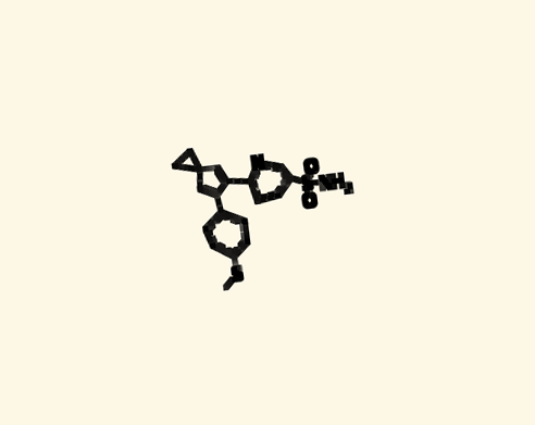 CSc1ccc(C2=CC3(C=C2c2ccc(S(N)(=O)=O)cn2)CC3)cc1